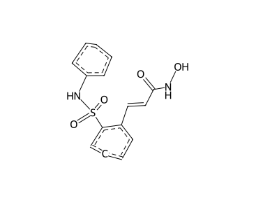 O=C(/C=C/c1ccccc1S(=O)(=O)Nc1ccccc1)NO